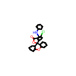 O=C1OC2(c3ccccc3Oc3ccccc32)c2ccc(Cl)c(Nc3ccccc3)c21